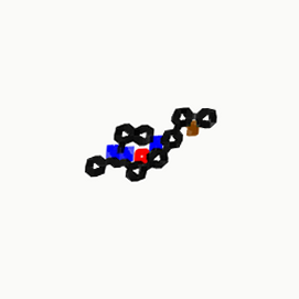 c1ccc(-c2cc(-c3cccc4c3oc3c4ccc4c5ccc(-c6cccc7c6sc6ccccc67)cc5n(-c5ccccc5)c43)nc(-c3ccccc3)n2)cc1